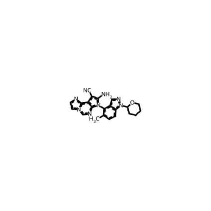 Cc1ccc2c(cnn2C2CCCCO2)c1-n1c(N)c(C#N)c2c1ncn1ccnc21